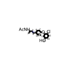 CC(=O)N[C@@H](C)/C=C/c1ccc(Oc2cc(O)ccc2Cl)nc1